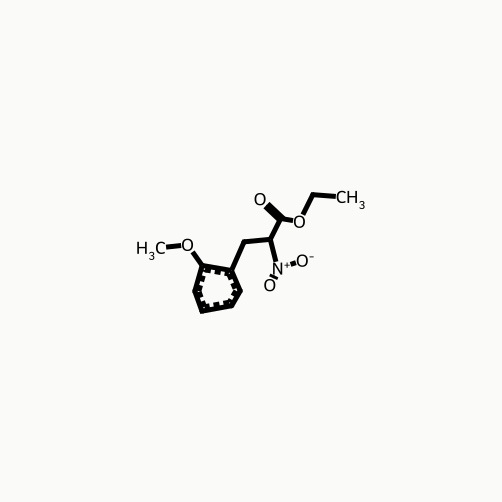 CCOC(=O)C(Cc1ccccc1OC)[N+](=O)[O-]